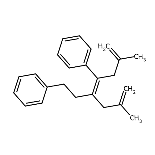 C=C(C)CC(CCc1ccccc1)=C(CC(=C)C)c1ccccc1